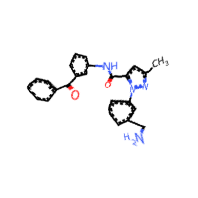 Cc1cc(C(=O)Nc2cccc(C(=O)c3ccccc3)c2)n(-c2cccc(CN)c2)n1